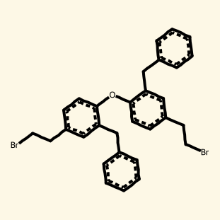 BrCCc1ccc(Oc2ccc(CCBr)cc2Cc2ccccc2)c(Cc2ccccc2)c1